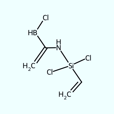 C=C[Si](Cl)(Cl)NC(=C)BCl